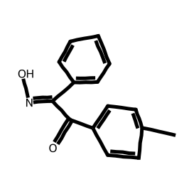 Cc1ccc(C(=O)/C(=N/O)c2ccccc2)cc1